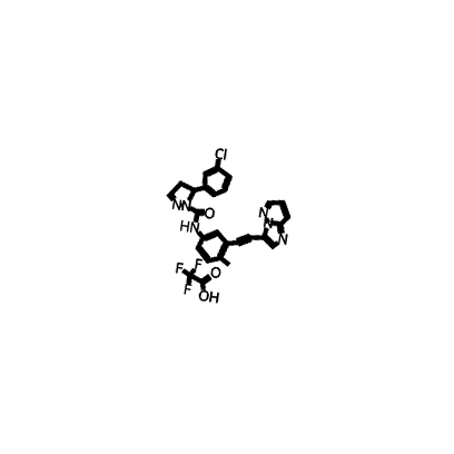 Cc1ccc(NC(=O)N2N=CCC2c2cccc(Cl)c2)cc1C#Cc1cnc2cccnn12.O=C(O)C(F)(F)F